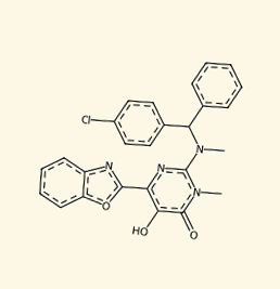 CN(c1nc(-c2nc3ccccc3o2)c(O)c(=O)n1C)C(c1ccccc1)c1ccc(Cl)cc1